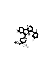 CC1(CO)CCC(C(=O)Nc2c(-c3cc(F)ccc3F)ccnc2C2CCC(F)(F)CC2)OC1